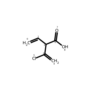 C=CC(C(=C)Cl)C(=O)O